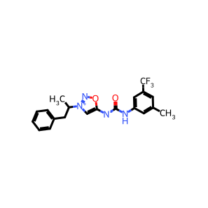 Cc1cc(NC(=O)[N-]c2c[n+](C(C)Cc3ccccc3)no2)cc(C(F)(F)F)c1